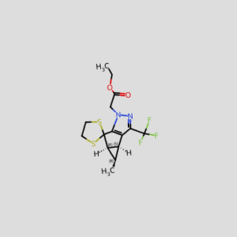 CCOC(=O)Cn1nc(C(F)(F)F)c2c1C1(SCCS1)[C@@H]1[C@H](C)[C@H]21